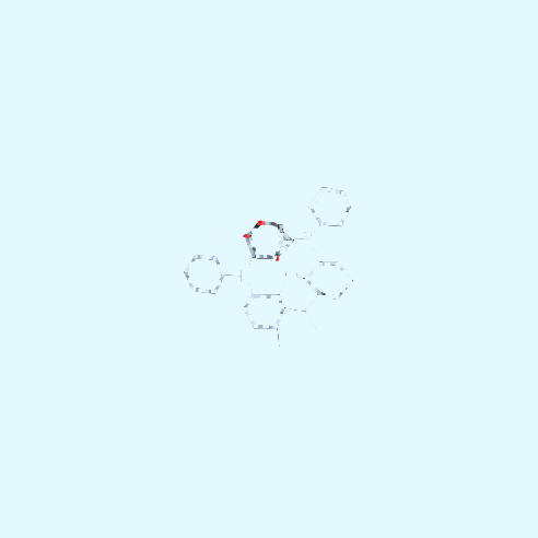 Cc1ccc(P(c2ccccc2)c2ccccc2)c2c1C(C)c1cccc(P(c3ccccc3)c3ccccc3)c1O2